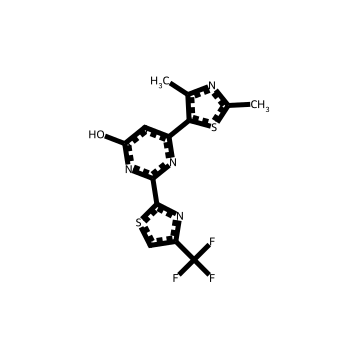 Cc1nc(C)c(-c2cc(O)nc(-c3nc(C(F)(F)F)cs3)n2)s1